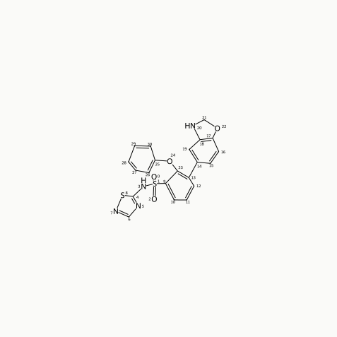 O=S(=O)(Nc1ncns1)c1cccc(-c2ccc3c(c2)NCO3)c1Oc1ccccc1